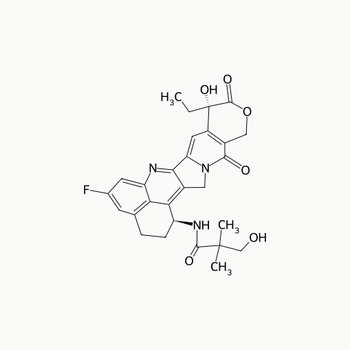 CC[C@@]1(O)C(=O)OCc2c1cc1n(c2=O)Cc2c-1nc1cc(F)cc3c1c2[C@@H](NC(=O)C(C)(C)CO)CC3